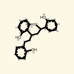 CCCCCC(CC(CCc1ccccc1O)c1ccccc1O)c1ccccc1O